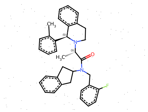 Cc1ccccc1[C@H]1c2ccccc2CCN1[C@@H](C)C(=O)N(Cc1ccccc1F)C1Cc2ccccc2C1